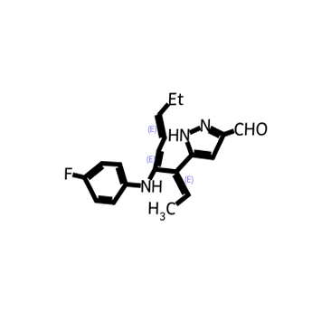 C\C=C(/C(=C\C=C\CC)Nc1ccc(F)cc1)c1cc(C=O)n[nH]1